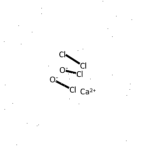 ClCl.[Ca+2].[O-]Cl.[O-]Cl